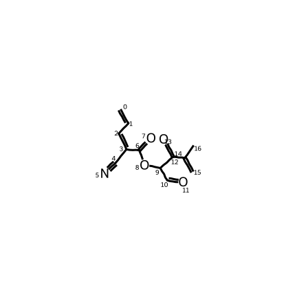 C=CC=C(C#N)C(=O)OC(C=O)C(=O)C(=C)C